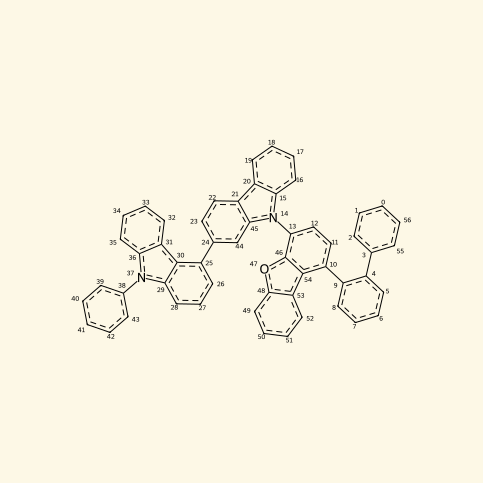 c1ccc(-c2ccccc2-c2ccc(-n3c4ccccc4c4ccc(-c5cccc6c5c5ccccc5n6-c5ccccc5)cc43)c3oc4ccccc4c23)cc1